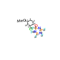 COc1ccc(OP2(F)=NP(F)N(F)P(F)N2F)c(Cl)c1